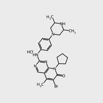 Cc1c(Br)c(=O)n(C2CCCC2)c2nc(Nc3ccc(N4CC(C)NC(C)C4)cc3)ncc12.Cl